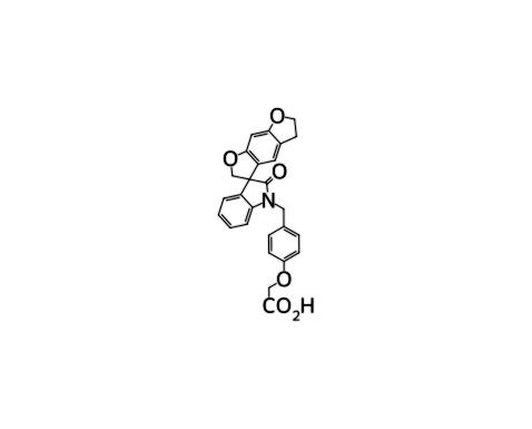 O=C(O)COc1ccc(CN2C(=O)C3(COc4cc5c(cc43)CCO5)c3ccccc32)cc1